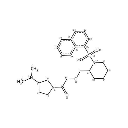 CN(C)C1CCN(C(=O)COCC2CCCCN2S(=O)(=O)c2cccc3ccccc23)C1